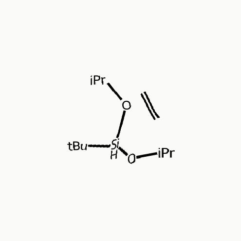 C=C.CC(C)O[SiH](OC(C)C)C(C)(C)C